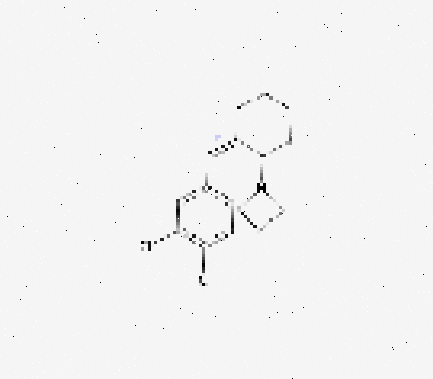 Clc1ccc(/C=C2/CCCCC2N2CCC2)cc1Cl